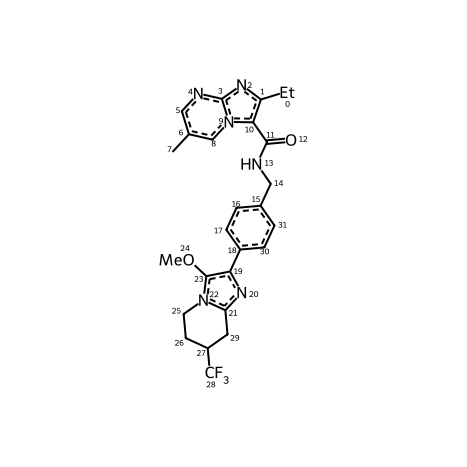 CCc1nc2ncc(C)cn2c1C(=O)NCc1ccc(-c2nc3n(c2OC)CCC(C(F)(F)F)C3)cc1